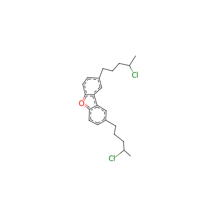 CC(Cl)CCCc1ccc2oc3ccc(CCCC(C)Cl)cc3c2c1